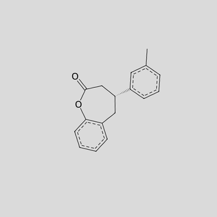 Cc1cccc([C@H]2CC(=O)Oc3ccccc3C2)c1